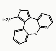 CCOC(=O)c1scc2c1-c1ccccc1Oc1ccccc1-2